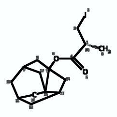 C[C@@H](CI)C(=O)OC12CC3CC4CC(C1)C2(C4)C3